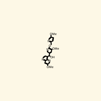 COc1ccc(COc2ncc(C(O)c3ccnc4cc(OC)cnc34)cc2OC)nc1